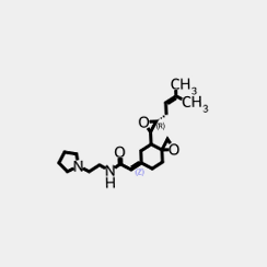 CC(C)=CC[C@H]1OC1C1C/C(=C\C(=O)NCCN2CCCC2)CCC12CO2